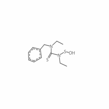 CCN(Cc1ccccc1)C(=S)N(CC)SO